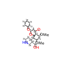 COc1cc(OC)c2c(=O)cc(Oc3ccccc3)oc2c1C1CCNCC1CO